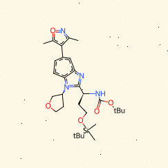 Cc1noc(C)c1-c1ccc2c(c1)nc([C@H](CCO[Si](C)(C)C(C)(C)C)NC(=O)OC(C)(C)C)n2[C@H]1CCOC1